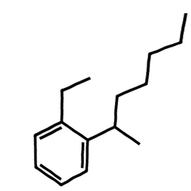 CCCCCC(C)c1ccccc1CC